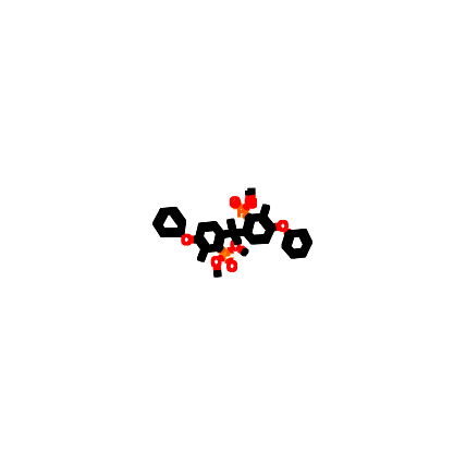 COP(=O)(OC)c1c(C(C)(C)c2ccc(Oc3ccccc3)c(C)c2P(=O)(OC)OC)ccc(Oc2ccccc2)c1C